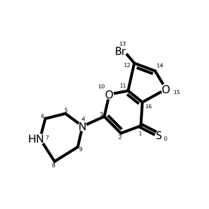 S=c1cc(N2CCNCC2)oc2c(Br)coc12